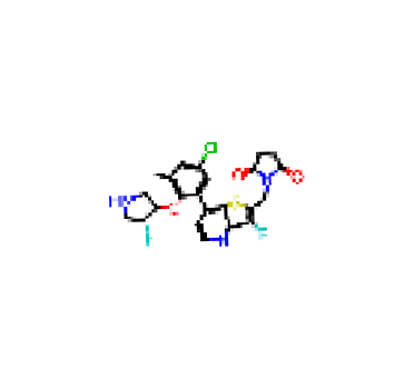 Cc1cc(Cl)cc(-c2ccnc3c(F)c(CN4C(=O)CCC4=O)sc23)c1O[C@@H]1CNC[C@@H]1F